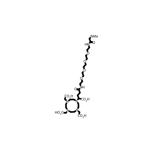 CNCC(=O)NCCOCCOCCOCCOCCNC(=O)CCC(C(=O)O)N1CCN(CC(=O)O)CCN(CC(=O)O)CCN(CC(=O)O)CC1